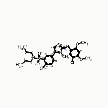 CCCN(CCC)S(=O)(=O)c1cc(-c2cs/c(=N/c3cc(Cl)c(OC)cc3OC)n2C)ccc1Cl